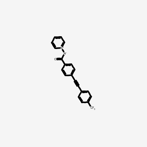 O=C([N-][n+]1ccccc1)c1ccc(C#Cc2ccc(C(F)(F)F)cc2)cc1